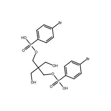 O=P(O)(OCC(CO)(CO)COP(=O)(O)c1ccc(Br)cc1)c1ccc(Br)cc1